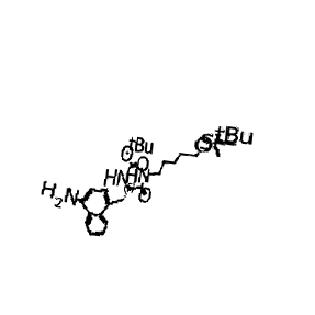 CC(C)(C)OC(=O)N[C@@H](Cc1ccc(N)c2ccccc12)C(=O)NCCCCCO[Si](C)(C)C(C)(C)C